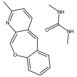 CNC(=O)NC.Cc1ccc2c(n1)=COc1ccccc1C=2